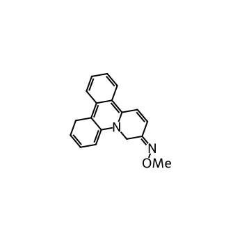 CON=C1C=CC2=c3ccccc3=C3CC=CC=C3N2C1